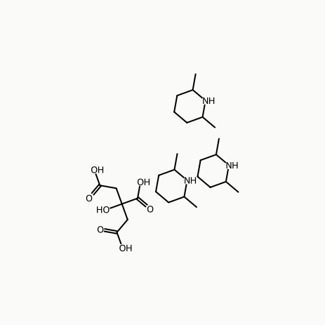 CC1CCCC(C)N1.CC1CCCC(C)N1.CC1CCCC(C)N1.O=C(O)CC(O)(CC(=O)O)C(=O)O